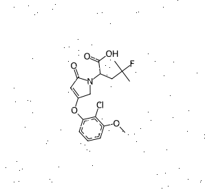 COc1cccc(OC2=CC(=O)N(C(CC(C)(C)F)C(=O)O)C2)c1Cl